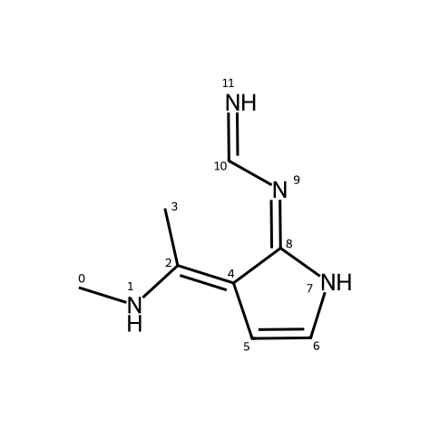 CN/C(C)=C1\C=CN\C1=N\C=N